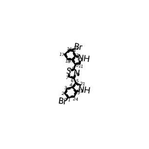 Brc1ccc2c(-c3csc(-c4c[nH]c5c(Br)cccc45)n3)c[nH]c2c1